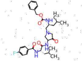 CC(C)C[C@@H](CN1CC(=O)C(NC(=O)[C@H](CC(C)C)NC(=O)c2ccc(F)cc2)C1)NC(=O)OCc1ccccc1